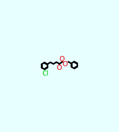 O=C(CCCc1cccc(Cl)c1)C(=O)OCc1ccccc1